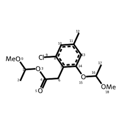 COC(C)OC(=O)Cc1c(Cl)cc(C)cc1OC(C)OC